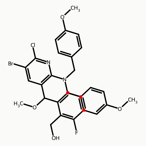 COc1ccc(CN(Cc2ccc(OC)cc2)c2nc(Cl)c(Br)cc2C(OC)c2cccc(F)c2CO)cc1